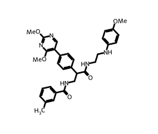 COc1ccc(NCCNC(=O)C(CNC(=O)c2cccc(C)c2)c2ccc(-c3cnc(OC)nc3OC)cc2)cc1